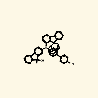 CC1(C)c2ccccc2-c2ccc(N(c3ccc(-c4ccc(C#N)cc4)cc3)c3cccc4c3C3(c5ccccc5-4)C4CC5CC(C4)CC3C5)cc21